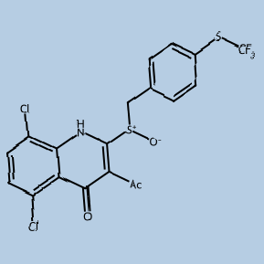 CC(=O)c1c([S+]([O-])Cc2ccc(SC(F)(F)F)cc2)[nH]c2c(Cl)ccc(Cl)c2c1=O